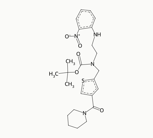 CC(C)(C)OC(=O)N(CCNc1ccccc1[N+](=O)[O-])Cc1cc(C(=O)N2CCCCC2)cs1